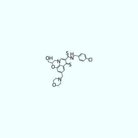 OCC1Cn2cc(C(=S)NCc3ccc(Cl)cc3)c(=S)c3cc(CN4CCOCC4)cc(c32)O1